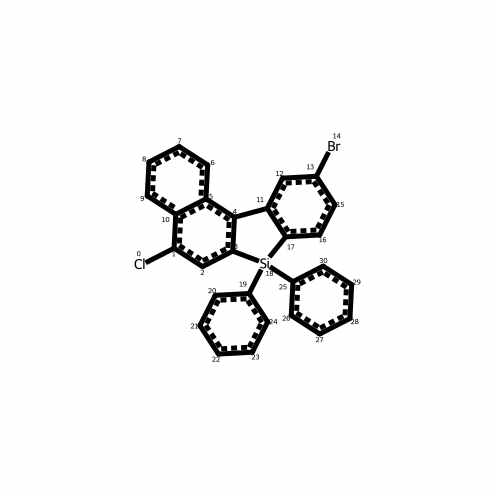 Clc1cc2c(c3ccccc13)-c1cc(Br)ccc1[Si]2(c1ccccc1)c1ccccc1